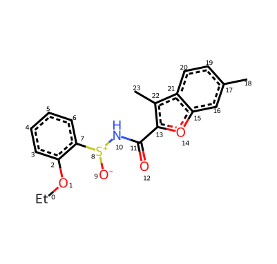 CCOc1ccccc1[S+]([O-])NC(=O)c1oc2cc(C)ccc2c1C